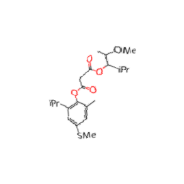 COC(C)C(OC(=O)CC(=O)Oc1c(C)cc(SC)cc1C(C)C)C(C)C